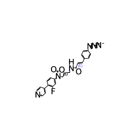 [N-]=[N+]=Nc1ccc(/C=C/C(=O)NC[C@H]2CN(c3ccc(-c4ccncc4)c(F)c3)C(=O)O2)cc1